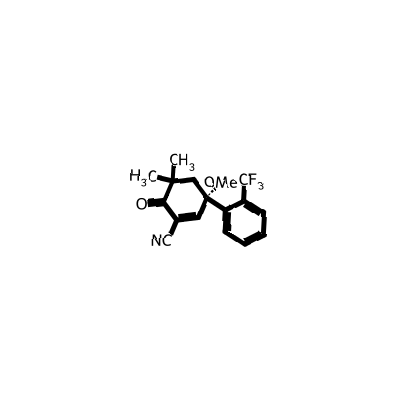 CO[C@]1(c2ccccc2C(F)(F)F)C=C(C#N)C(=O)C(C)(C)C1